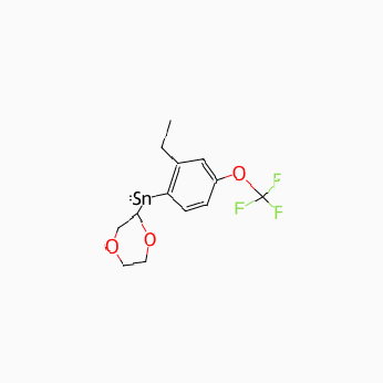 CCc1cc(OC(F)(F)F)cc[c]1[Sn][CH]1COCCO1